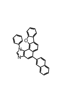 c1ccc(-n2cnc3cc(-c4ccc5ccccc5c4)c4ccc5c6ccccc6oc5c4c32)cc1